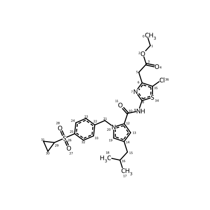 CCOC(=O)Cc1nc(NC(=O)c2cc(CC(C)C)cn2Cc2ccc(S(=O)(=O)C3CC3)cc2)sc1Cl